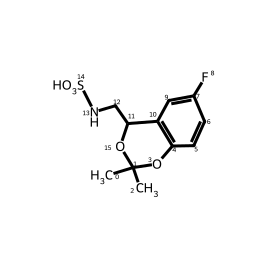 CC1(C)Oc2ccc(F)cc2C(CNS(=O)(=O)O)O1